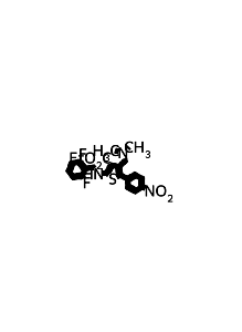 CCOC(=O)c1c(NCc2c(F)cccc2F)sc(-c2ccc([N+](=O)[O-])cc2)c1CN(C)C